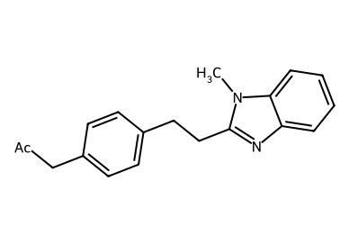 CC(=O)Cc1ccc(CCc2nc3ccccc3n2C)cc1